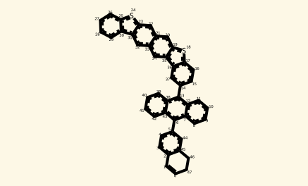 C1=Cc2ccc(-c3c4ccccc4c(-c4ccc5sc6cc7cc8sc9ccccc9c8cc7cc6c5c4)c4ccccc34)cc2CC1